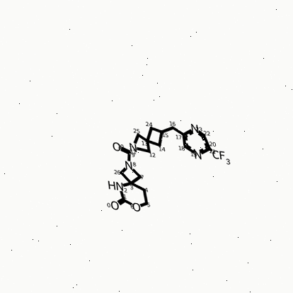 O=C1NC2(CCO1)CN(C(=O)N1CC3(CC(Cc4cnc(C(F)(F)F)cn4)C3)C1)C2